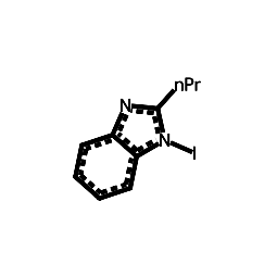 CCCc1nc2ccccc2n1I